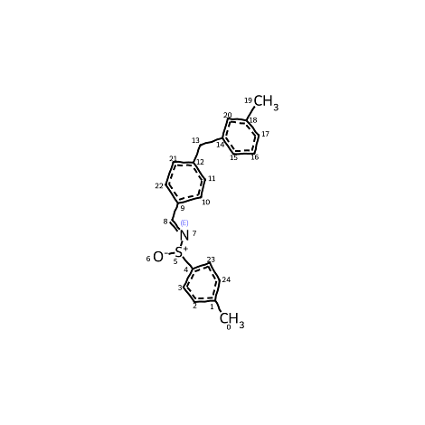 Cc1ccc([S+]([O-])/N=C/c2ccc(Cc3cccc(C)c3)cc2)cc1